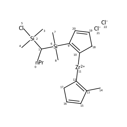 CCCC([Si](C)(C)Cl)[Si](C)(C)C1=[C]([Zr+2][C]2=C(C)C=CC2)CC=C1.[Cl-].[Cl-]